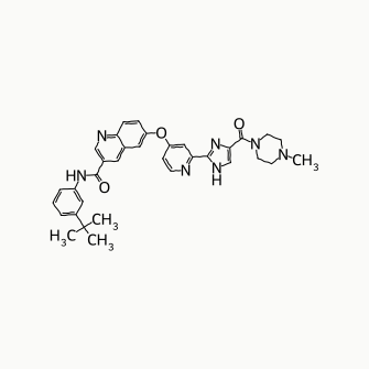 CN1CCN(C(=O)c2c[nH]c(-c3cc(Oc4ccc5ncc(C(=O)Nc6cccc(C(C)(C)C)c6)cc5c4)ccn3)n2)CC1